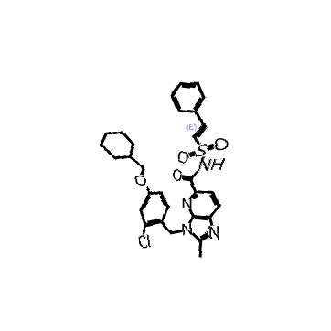 Cc1nc2ccc(C(=O)NS(=O)(=O)/C=C/c3ccccc3)nc2n1Cc1ccc(OCC2CCCCC2)cc1Cl